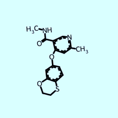 CNC(=O)c1cnc(C)cc1Oc1ccc2c(c1)OCCS2